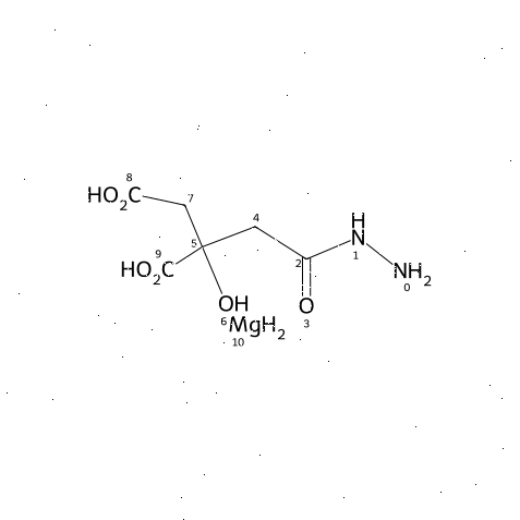 NNC(=O)CC(O)(CC(=O)O)C(=O)O.[MgH2]